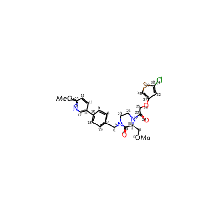 COC[C@H]1C(=O)N(Cc2ccc(-c3ccc(OC)nc3)cc2)CCN1C(=O)COc1csc(Cl)c1